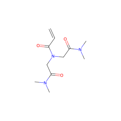 C=CC(=O)N(CC(=O)N(C)C)CC(=O)N(C)C